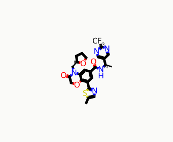 Cc1cnc(-c2cc(C(=O)N[C@H](C)c3cnc(C(F)(F)F)nc3)cc3c2OCC(=O)N3C[C@H]2CCCO2)s1